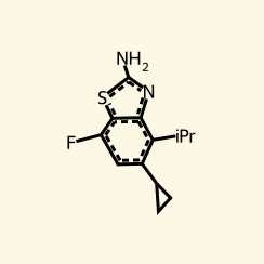 CC(C)c1c(C2CC2)cc(F)c2sc(N)nc12